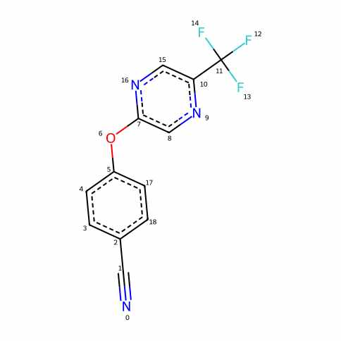 N#Cc1ccc(Oc2cnc(C(F)(F)F)cn2)cc1